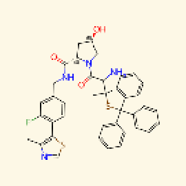 Cc1ncsc1-c1ccc(CNC(=O)[C@@H]2C[C@@H](O)CN2C(=O)C(N)C(C)(C)SC(c2ccccc2)(c2ccccc2)c2ccccc2)cc1F